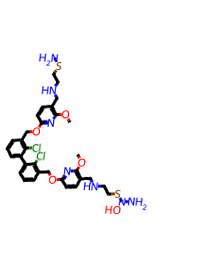 COc1nc(OCc2cccc(-c3cccc(COc4ccc(CNCCSN(N)O)c(OC)n4)c3Cl)c2Cl)ccc1CNCCSN